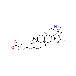 C=C(C)[C@@H]1CC[C@]2(N)CC[C@]3(C)[C@H](CC[C@@H]4[C@@]5(C)CC=C(CCCC(C)(C)C(=O)OC)C(C)(C)[C@@H]5CC[C@]43C)[C@@H]12